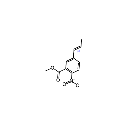 C/C=C/c1ccc([N+](=O)[O-])c(C(=O)OC)c1